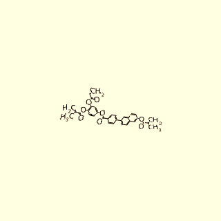 C=CC(=O)Oc1cc(OC(=O)c2ccc(-c3ccc4cc(OC(=O)C(=C)C)ccc4c3)cc2)ccc1OC(=O)C(=C)C